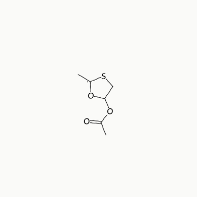 C[C]1OC(OC(C)=O)CS1